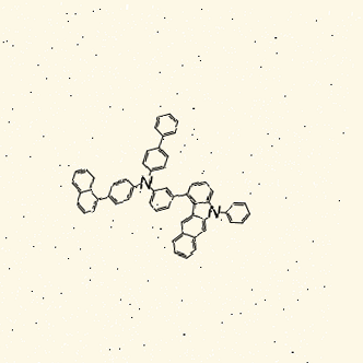 c1ccc(-c2ccc(N(c3ccc(-c4cccc5ccccc45)cc3)c3cccc(-c4cccc5c4c4cc6ccccc6cc4n5-c4ccccc4)c3)cc2)cc1